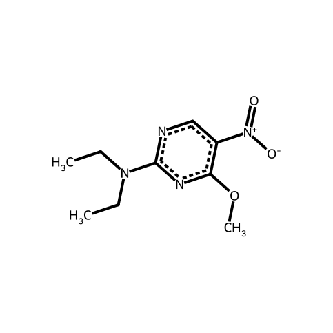 CCN(CC)c1ncc([N+](=O)[O-])c(OC)n1